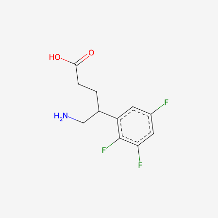 NCC(CCC(=O)O)c1cc(F)cc(F)c1F